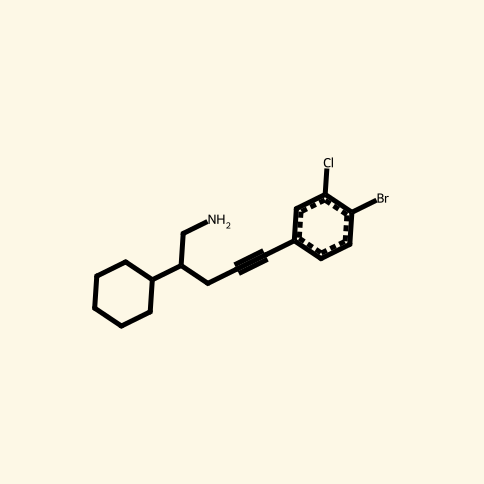 NCC(CC#Cc1ccc(Br)c(Cl)c1)C1CCCCC1